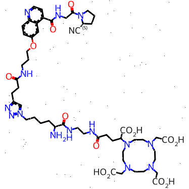 N#C[C@@H]1CCCN1C(=O)CNC(=O)c1ccnc2ccc(OCCCNC(=O)CCc3cn(CCCCC(N)C(=O)NCCNC(=O)CCC(C(=O)O)N4CCN(CC(=O)O)CCN(CC(=O)O)CCN(CC(=O)O)CC4)nn3)cc12